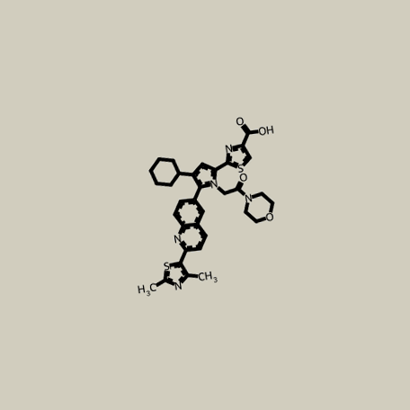 Cc1nc(C)c(-c2ccc3cc(-c4c(C5CCCCC5)cc(-c5nc(C(=O)O)cs5)n4CC(=O)N4CCOCC4)ccc3n2)s1